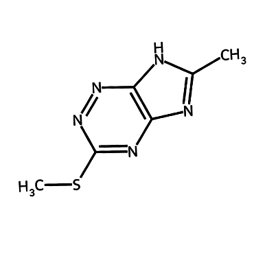 CSc1nnc2[nH]c(C)nc2n1